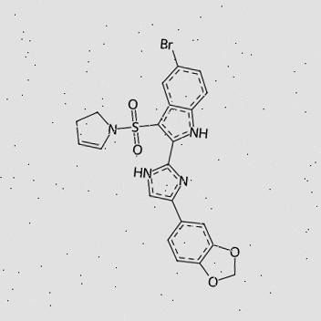 O=S(=O)(c1c(-c2nc(-c3ccc4c(c3)OCO4)c[nH]2)[nH]c2ccc(Br)cc12)N1C=CCC1